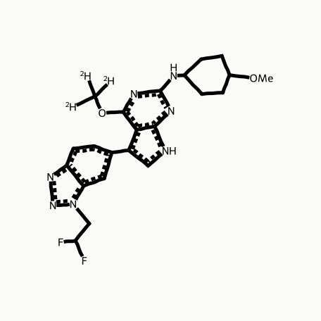 [2H]C([2H])([2H])Oc1nc(NC2CCC(OC)CC2)nc2[nH]cc(-c3ccc4nnn(CC(F)F)c4c3)c12